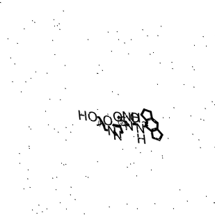 C[C@]1(CO)Cn2ncc([S@@](N)(=O)=NC(=O)Nc3c4c(cc5c3CCC5)CCC4)c2O1